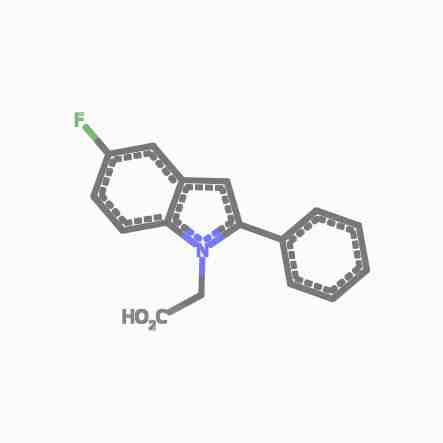 O=C(O)Cn1c(-c2ccccc2)cc2cc(F)ccc21